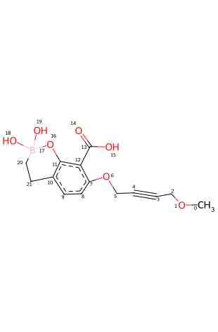 COCC#CCOc1ccc2c(c1C(=O)O)O[B-](O)(O)CC2